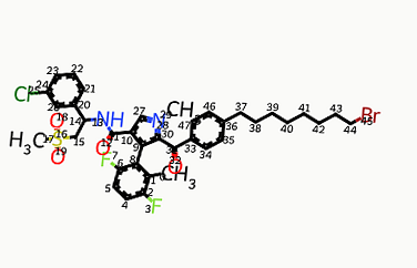 Cc1c(F)ccc(F)c1-c1c(C(=O)NC(CS(C)(=O)=O)c2cccc(Cl)c2)cn(C)c1C(=O)c1ccc(CCCCCCCCBr)cc1